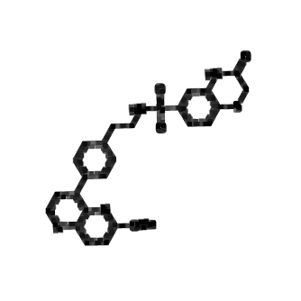 COc1ccc2nccc(-c3ccc(CCNS(=O)(=O)c4ccc5c(c4)NC(=O)CS5)cc3)c2n1